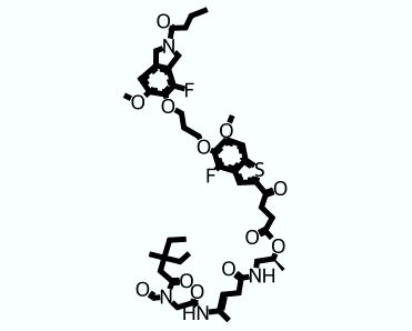 CCCC(=O)N1Cc2cc(OC)c(OCCCOc3c(OC)cc4sc(C(=O)CCC(=O)O[C@@H](C)CNC(=O)C/C=C(\C)NC(=O)CN(C=O)C(=O)CC(C)(CC)CC)cc4c3F)c(F)c2C1